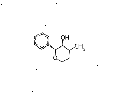 CC1CCO[C@@H](c2ccccc2)[C@H]1O